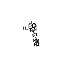 CCOc1cccc2nc(N3CCN(c4nc5ncccc5o4)CC3)nc(N)c12